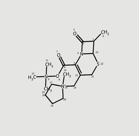 CC1C(=O)N2C(C(=O)O[Si](C)(C)C)=C(C[N+]3(C)CCCC3)CSC12